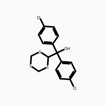 OC(c1ccc(Cl)cc1)(c1ccc(Cl)cc1)C1SCSCS1